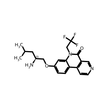 CC(C)C[C@H](N)COc1ccc2c3ccncc3c(=O)n(CC(F)(F)F)c2c1